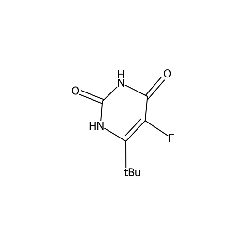 CC(C)(C)c1[nH]c(=O)[nH]c(=O)c1F